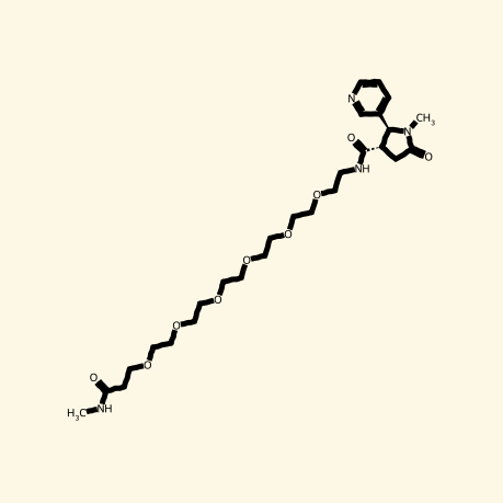 CNC(=O)CCOCCOCCOCCOCCOCCOCCNC(=O)[C@H]1CC(=O)N(C)[C@@H]1c1cccnc1